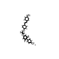 CCCC1CCC(/C=C/C2CCC(OCC(F)(F)Oc3cc(F)c(C4CC=C(C(F)(F)F)CC4)c(F)c3)CC2)CC1